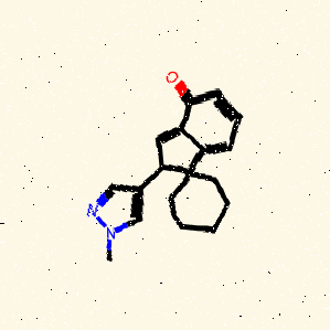 Cn1cc(C2C=C3C(=O)C=CC=C3C23CCCCC3)cn1